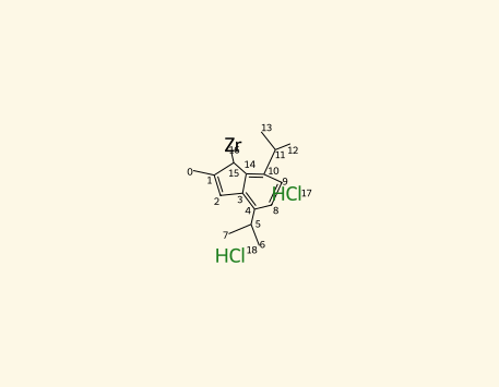 CC1=Cc2c(C(C)C)ccc(C(C)C)c2[CH]1[Zr].Cl.Cl